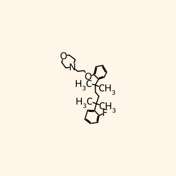 CC(C)(CCC(C)(C)c1ccccc1OCCN1CCOCC1)c1ccccc1F